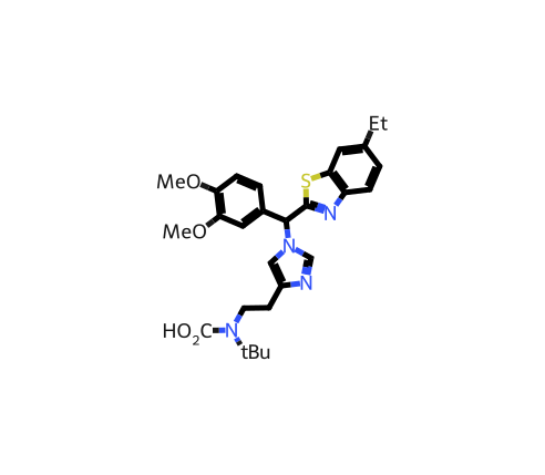 CCc1ccc2nc(C(c3ccc(OC)c(OC)c3)n3cnc(CCN(C(=O)O)C(C)(C)C)c3)sc2c1